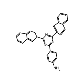 Nc1ccc(-c2nc(-c3ccc4ccccc4c3)nc(C3C=c4ccccc4=CC3)n2)cc1